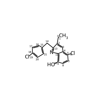 CCc1cc2c(Cl)ccc(O)c2nc1Cc1ccc(Cl)cc1